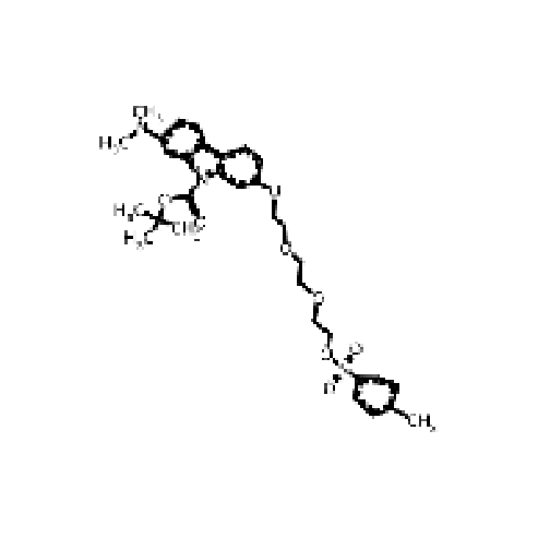 Cc1ccc(S(=O)(=O)OCCOCCOCCOc2ccc3c4ccc(N(C)C)cc4n(C(=O)OC(C)(C)C)c3c2)cc1